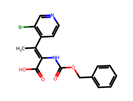 CC(=C(NC(=O)OCc1ccccc1)C(=O)O)c1ccncc1Br